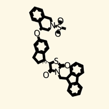 CS(=O)(=O)N1Cc2ccccc2C(Oc2ccc3c(c2)CC[C@H]3C2SC(=O)N(CC3c4ccccc4-c4ccccc43)C2=O)C1